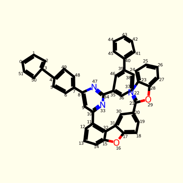 c1ccc(-c2ccc(-c3cc(-c4cccc5oc6ccc(-c7nc8ccccc8o7)cc6c45)nc(-c4cccc(-c5ccccc5)c4)n3)cc2)cc1